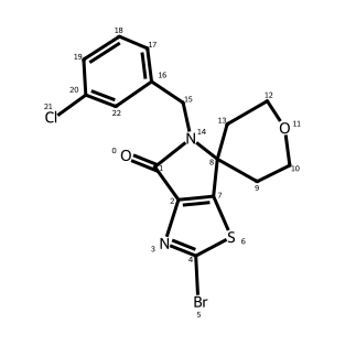 O=C1c2nc(Br)sc2C2(CCOCC2)N1Cc1cccc(Cl)c1